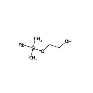 C[Si](C)([Rb])OCCO